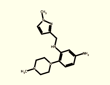 CN1CCN(c2ccc(N)cc2NCc2ccn(C)n2)CC1